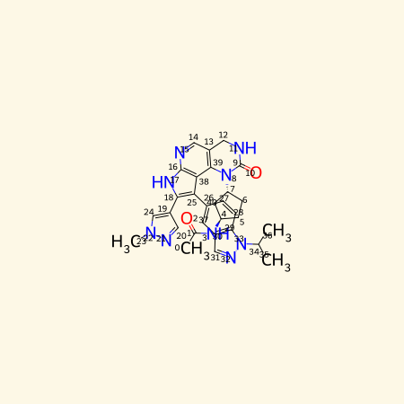 CC(=O)N[C@@H]1CC[C@@H](N2C(=O)NCc3cnc4[nH]c(-c5cnn(C)c5)c(-c5ccc6c(cnn6C(C)C)c5)c4c32)C1